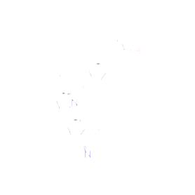 CCOCC(Oc1ccc(OCC(=O)O)c(C)c1)c1cccc(-c2ccc(C#N)c(OC)c2)n1